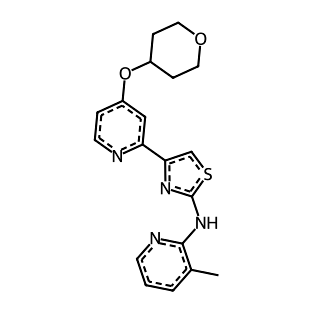 Cc1cccnc1Nc1nc(-c2cc(OC3CCOCC3)ccn2)cs1